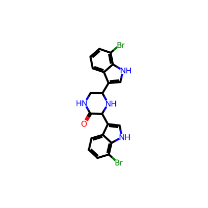 O=C1NCC(c2c[nH]c3c(Br)cccc23)NC1c1c[nH]c2c(Br)cccc12